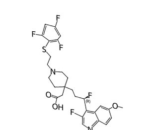 COc1ccc2ncc(F)c([C@H](F)CCC3(CC(=O)O)CCN(CCSc4c(F)cc(F)cc4F)CC3)c2c1